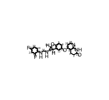 O=C1CCc2c(Oc3ccc4c(c3)[C@H]3[C@H](NCNc5ccc(F)cc5F)[C@H]3O4)ccnc2N1